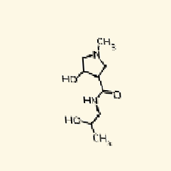 CC(O)CNC(=O)C1CN(C)CC1O